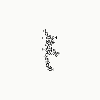 COc1ccc(-n2nc(C(=O)O)c(N=Nc3ccc4c(O)c(N=Nc5cc(C)c(N=Nc6nc7ccc(S(=O)(=O)O)cc7s6)cc5OCCCS(=O)(=O)O)c(S(=O)(=O)O)cc4c3S(=O)(=O)O)c2O)cc1